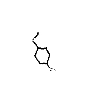 CCOC1CCC(C(F)(F)F)CC1